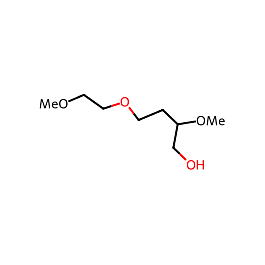 COCCOCCC(CO)OC